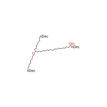 CCCCCCCCCCCCCCCCCCOC(CCCCCCCCCCCCCCCCC)CCCCCCCCCCCCCCCCCC(O)CCCCCCCCCC